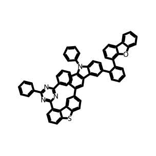 c1ccc(-c2nc(-c3ccccc3)nc(-c3cccc4sc5ccc(-c6ccc7c(c6)c6cc(-c8ccccc8-c8cccc9c8oc8ccccc89)ccc6n7-c6ccccc6)cc5c34)n2)cc1